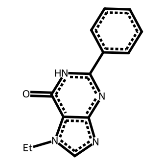 CCn1cnc2nc(-c3ccccc3)[nH]c(=O)c21